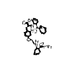 CCCC(=O)c1ccccc1NCCOc1ccc(CC(Nc2ccccc2C(=O)c2ccccc2)C(=O)OC)cc1